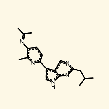 CC(C)=Nc1ccc(-c2c[nH]c3nc(CC(C)C)ncc23)nc1C